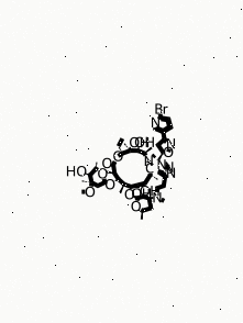 CC[C@H]1OC(=O)[C@H](C)[C@@H](O[C@H]2C[C@@](C)(OC)[C@@H](O)[C@H](C)O2)[C@H](C)[C@@H](O[C@@H]2O[C@H](C)C[C@H](N(C)CCc3cn(C[C@H]4CC(c5ccc(Br)nc5)=NO4)nn3)[C@H]2O)[C@](C)(O)C[C@@H](C)CN(C)[C@H](C)[C@@H](O)[C@]1(C)O